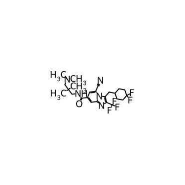 CN(C)CC(C)(C)CNC(=O)c1cc(C#N)n2c(CC3CCC(F)(F)CC3)c(C(F)(F)F)nc2c1